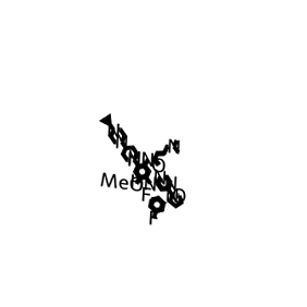 COc1cc(N2CCC(N3CCN(C4CC4)CC3)CC2)c(NC(=O)/C=C/CN(C)C)cc1Nc1cc(N2OCC[C@@H]2c2cc(F)cc(F)c2)ncn1